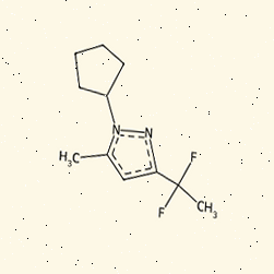 Cc1cc(C(C)(F)F)nn1C1CCCC1